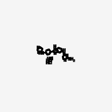 Cl.Cl.Cl.Nc1nccc(Nc2ccc3[nH]c(-c4ccc(Nc5ccncn5)cc4)nc3c2)n1